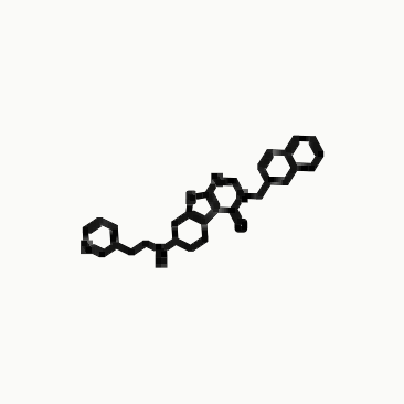 O=c1c2c3c(sc2ncn1Cc1ccc2ccccc2c1)CC(NCCc1cccnc1)CC3